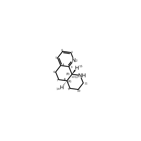 c1cnc2c(c1)CC[C@@H]1CCCN[C@@H]21